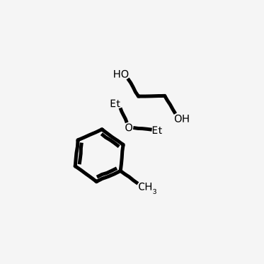 CCOCC.Cc1ccccc1.OCCO